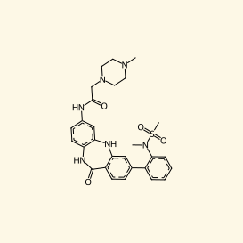 CN1CCN(CC(=O)Nc2ccc3c(c2)Nc2cc(-c4ccccc4N(C)S(C)(=O)=O)ccc2C(=O)N3)CC1